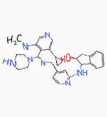 C=Nc1cncc(C2CC2)c1/C(=N\Cc1ccnc(NC2c3ccccc3C[C@@H]2O)c1)N1CCNCC1